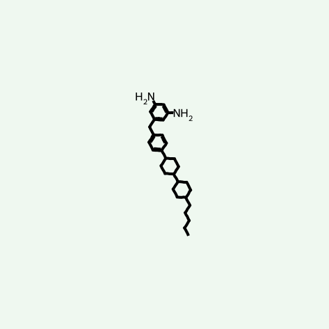 CCCCCC1CCC(C2CCC(c3ccc(Cc4cc(N)cc(N)c4)cc3)CC2)CC1